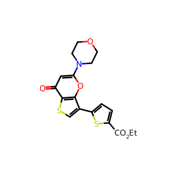 CCOC(=O)c1ccc(-c2csc3c(=O)cc(N4CCOCC4)oc23)s1